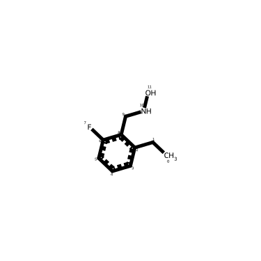 CCc1cccc(F)c1CNO